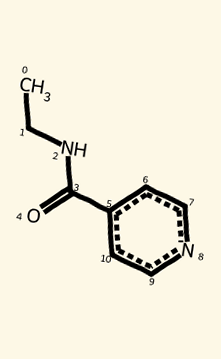 CCNC(=O)c1ccncc1